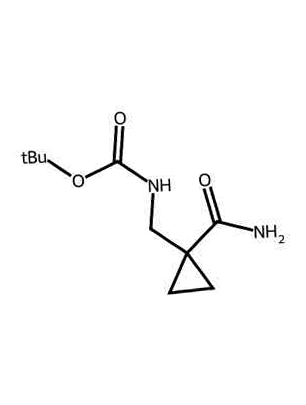 CC(C)(C)OC(=O)NCC1(C(N)=O)CC1